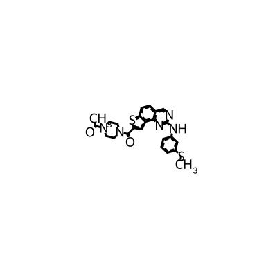 CSc1cccc(Nc2ncc3ccc4sc(C(=O)N5CCN(C(C)=O)CC5)cc4c3n2)c1